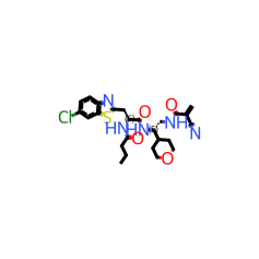 C=C(C#N)C(=O)NC[C@@H](NC(=O)[C@H](Cc1nc2ccc(Cl)cc2s1)NC(=O)CCC)C1CCOCC1